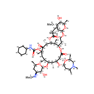 CO/N=C1\C[C@@H](C)O[C@@H](O[C@@H]2[C@@H](C)[C@H](O[C@H]3CC(C)N(C)C[C@H](C)O3)[C@@H](C)C(=O)O[C@H]([C@@H](C)CO[C@@H]3O[C@H](C)[C@@H](O)[C@@H](OC)[C@H]3OC)[C@H](C)[C@@H](OC(=O)CC(C)C)[C@@H](C)C(=O)[C@@](C)(OC(=O)NC3CCCCC3)C[C@@H]2C)[C@@H]1O